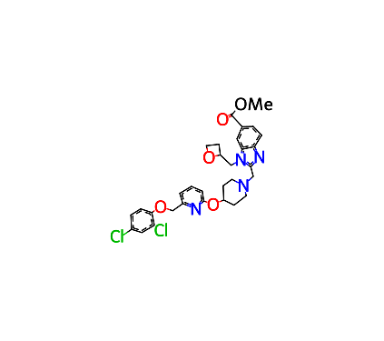 COC(=O)c1ccc2nc(CN3CCC(Oc4cccc(COc5ccc(Cl)cc5Cl)n4)CC3)n(CC3CCO3)c2c1